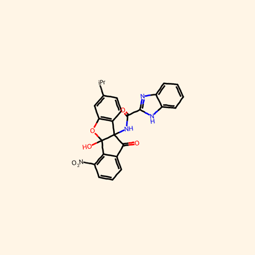 CC(C)c1ccc2c(c1)OC1(O)c3c(cccc3[N+](=O)[O-])C(=O)C21NC(=O)c1nc2ccccc2[nH]1